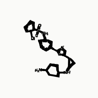 N#Cc1ccccc1S(=O)(=O)Nc1cccc(-c2ncc(C3CC3NC3CCC(N)CC3)s2)c1